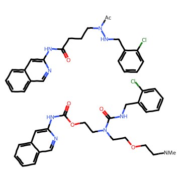 CC(=O)N(CCCC(=O)Nc1cc2ccccc2cn1)NCc1ccccc1Cl.CNCCOCCN(CCOC(=O)Nc1cc2ccccc2cn1)C(=O)NCc1ccccc1Cl